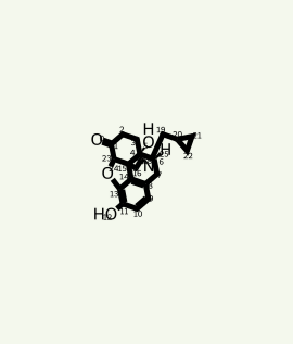 O=C1CC[C@@]2(O)[C@@H]3Cc4ccc(O)c5c4C2(CCN3CC2CC2)C1O5